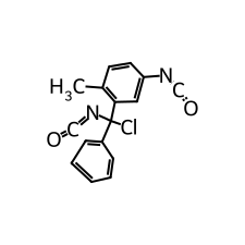 Cc1ccc(N=C=O)cc1C(Cl)(N=C=O)c1ccccc1